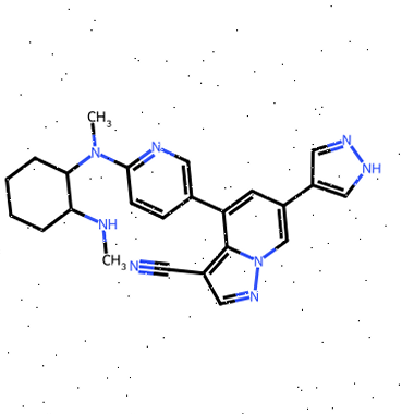 CNC1CCCCC1N(C)c1ccc(-c2cc(-c3cn[nH]c3)cn3ncc(C#N)c23)cn1